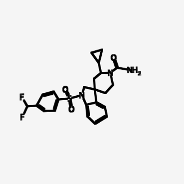 NC(=O)N1CCC2(CC1C1CC1)CN(S(=O)(=O)c1ccc(C(F)F)cc1)c1ccccc12